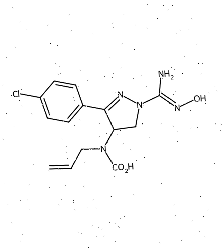 C=CCN(C(=O)O)C1CN(/C(N)=N/O)N=C1c1ccc(Cl)cc1